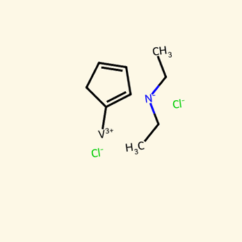 CC[N-]CC.[Cl-].[Cl-].[V+3][C]1=CC=CC1